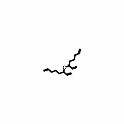 C=CCCCC(C=C)OC(C=C)CCCC=C